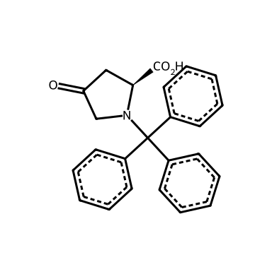 O=C1C[C@@H](C(=O)O)N(C(c2ccccc2)(c2ccccc2)c2ccccc2)C1